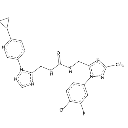 Cc1nc(CNC(=O)NCc2ncnn2-c2ccc(C3CC3)nc2)n(-c2ccc(Cl)c(F)c2)n1